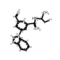 C=C(NC(C)CF)c1cc(-n2nnc3ccccc32)cc(C=O)n1